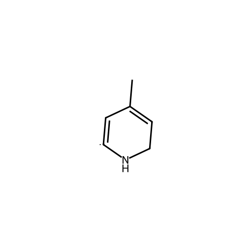 CC1=CCN[C]=C1